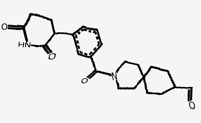 O=CC1CCC2(CC1)CCN(C(=O)c1cccc(C3CCC(=O)NC3=O)c1)CC2